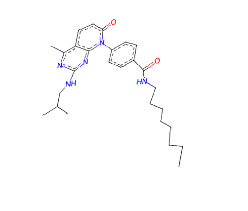 CCCCCCCCNC(=O)c1ccc(-n2c(=O)ccc3c(C)nc(NCC(C)C)nc32)cc1